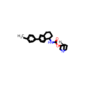 CCc1ccc(-c2ccc3c(c2)CCCC3NC(=O)O[C@H]2CN3CCC2CC3)cc1